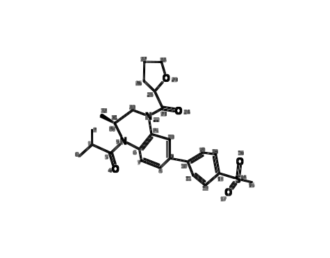 CC(C)C(=O)N1c2ccc(-c3ccc(S(C)(=O)=O)cc3)cc2N(C(=O)C2CCCO2)C[C@@H]1C